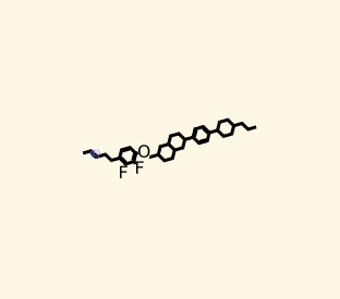 C/C=C/CCc1ccc(OCC2CCC3CC(c4ccc(C5CCC(CCC)CC5)cc4)CCC3C2)c(F)c1F